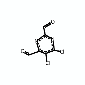 O=Cc1nc(Cl)c(Cl)c(C=O)n1